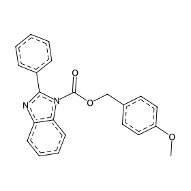 COc1ccc(COC(=O)n2c(-c3ccccc3)nc3ccccc32)cc1